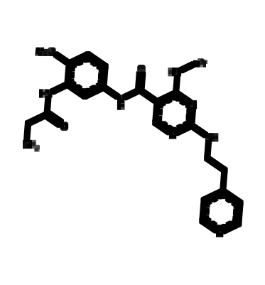 CCCNc1nc(NCCc2ccncc2)ncc1C(=O)Nc1ccc(OC)c(NC(=O)CN)c1